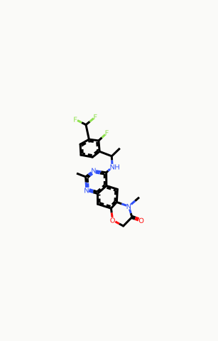 Cc1nc(NC(C)c2cccc(C(F)F)c2F)c2cc3c(cc2n1)OCC(=O)N3C